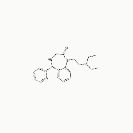 CCN(CC)CCN1C(=O)CNC(c2ccccn2)c2ccccc21